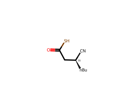 CCCC[C@H](C#N)CC(=O)S